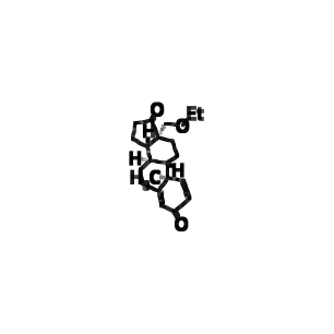 CCOC[C@]12CC[C@H]3[C@@H](CCC4=CC(=O)C=C[C@@]43C)[C@@H]1CCC2=O